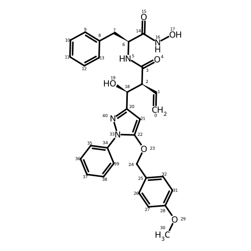 C=C[C@H](C(=O)N[C@@H](Cc1ccccc1)C(=O)NO)[C@H](O)c1cc(OCc2ccc(OC)cc2)n(-c2ccccc2)n1